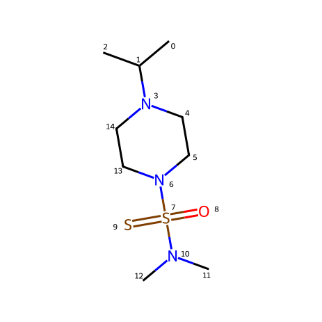 CC(C)N1CCN(S(=O)(=S)N(C)C)CC1